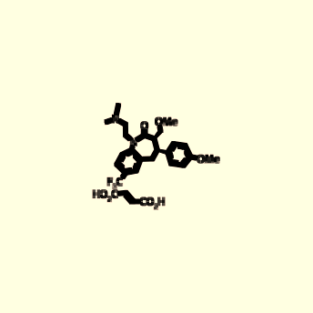 COC[C@@H]1C(=O)N(CCN(C)C)c2ccc(C(F)(F)F)cc2C[C@@H]1c1ccc(OC)cc1.O=C(O)C=CC(=O)O